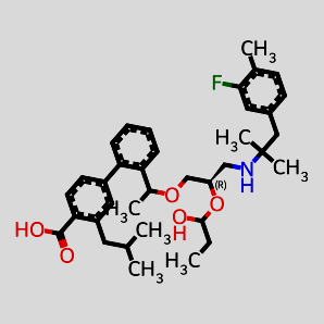 CCC(O)O[C@H](CNC(C)(C)Cc1ccc(C)c(F)c1)COC(C)c1ccccc1-c1ccc(C(=O)O)c(CC(C)C)c1